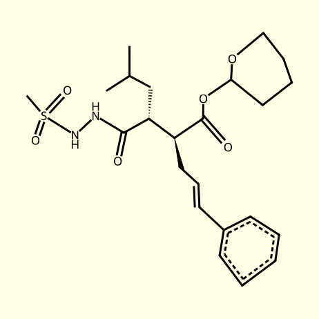 CC(C)C[C@@H](C(=O)NNS(C)(=O)=O)[C@H](CC=Cc1ccccc1)C(=O)OC1CCCCO1